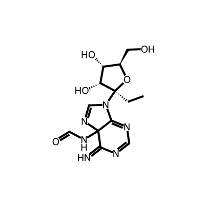 CC[C@@]1(N2C=NC3(NC=O)C(=N)N=CN=C23)O[C@H](CO)[C@@H](O)[C@H]1O